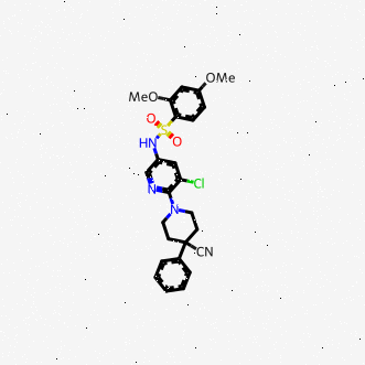 COc1ccc(S(=O)(=O)Nc2cnc(N3CCC(C#N)(c4ccccc4)CC3)c(Cl)c2)c(OC)c1